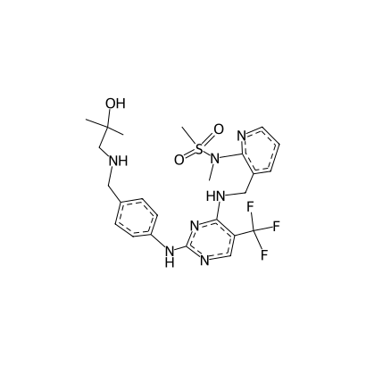 CN(c1ncccc1CNc1nc(Nc2ccc(CNCC(C)(C)O)cc2)ncc1C(F)(F)F)S(C)(=O)=O